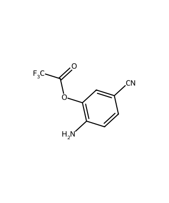 N#Cc1ccc(N)c(OC(=O)C(F)(F)F)c1